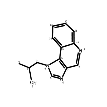 CC(O)Cn1cnc2cnc3ccccc3c21